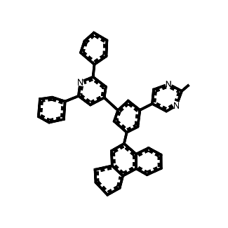 Cc1ncc(-c2cc(-c3cc(-c4ccccc4)nc(-c4ccccc4)c3)cc(-c3cc4ccccc4c4ccccc34)c2)cn1